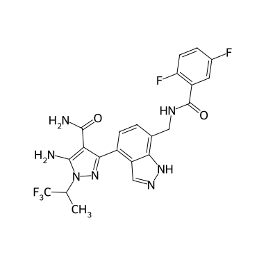 CC(n1nc(-c2ccc(CNC(=O)c3cc(F)ccc3F)c3[nH]ncc23)c(C(N)=O)c1N)C(F)(F)F